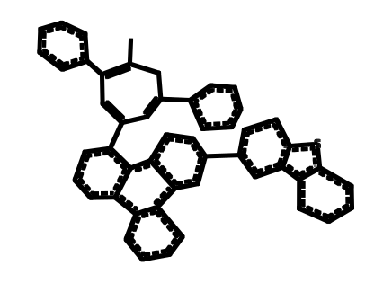 CC1=C(c2ccccc2)C=C(c2cccc3c4ccccc4c4cc(-c5ccc6sc7ccccc7c6c5)ccc4c23)C=C(c2ccccc2)C1